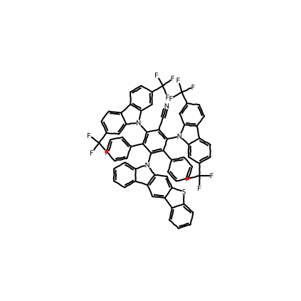 N#Cc1c(-n2c3cc(C(F)(F)F)ccc3c3ccc(C(F)(F)F)cc32)c(-c2ccccc2)c(-n2c3ccccc3c3cc4c(cc32)sc2ccccc24)c(-c2ccccc2)c1-n1c2cc(C(F)(F)F)ccc2c2ccc(C(F)(F)F)cc21